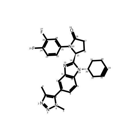 Cc1nnn(C)c1-c1ccc2c(c1)nc([C@@H]1CCC(=O)N1c1ccc(F)c(F)c1)n2[C@H]1CC#CCC1